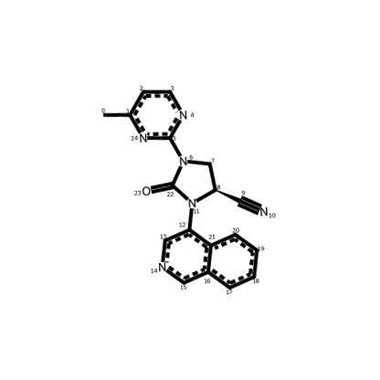 Cc1ccnc(N2C[C@@H](C#N)N(c3cncc4ccccc34)C2=O)n1